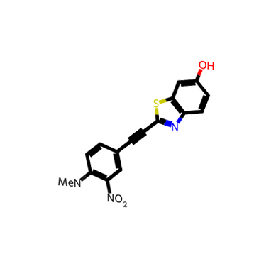 CNc1ccc(C#Cc2nc3ccc(O)cc3s2)cc1[N+](=O)[O-]